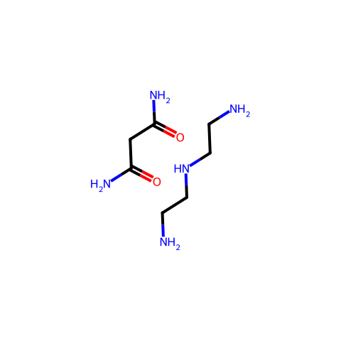 NC(=O)CC(N)=O.NCCNCCN